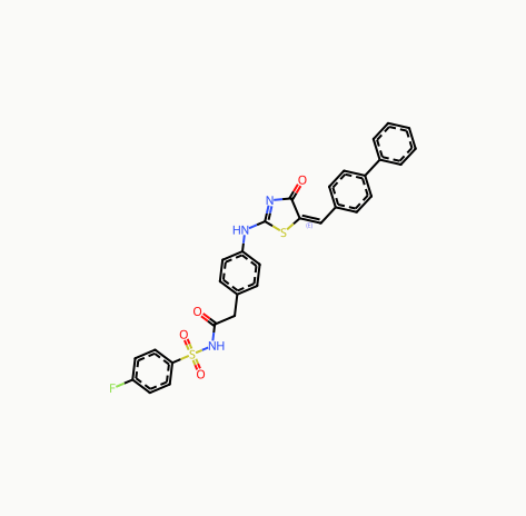 O=C(Cc1ccc(NC2=NC(=O)/C(=C\c3ccc(-c4ccccc4)cc3)S2)cc1)NS(=O)(=O)c1ccc(F)cc1